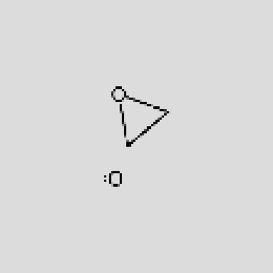 C1CO1.[O]